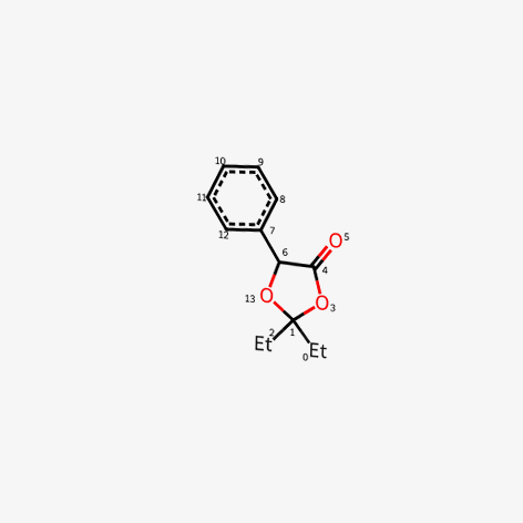 CCC1(CC)OC(=O)C(c2ccccc2)O1